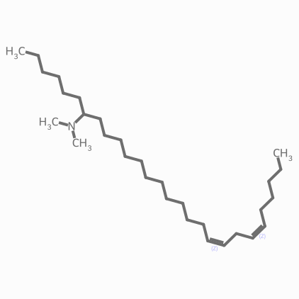 CCCCC/C=C\C/C=C\CCCCCCCCCCCC(CCCCCC)N(C)C